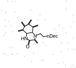 C=C1C(=C)C(=C)C2C(NC(=O)C(=C)N2CCCCCCCCCCCC)C1=C